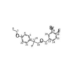 CCOc1ccc(C(C)(C)COCc2ccc(F)c(Br)c2)cc1